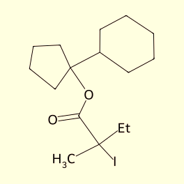 CCC(C)(I)C(=O)OC1(C2CCCCC2)CCCC1